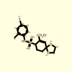 CCOC(=O)C1=CC2(CCC1S(=O)(=O)Nc1ccc(F)cc1C)OCCO2